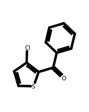 O=C(c1ccccc1)c1sccc1Cl